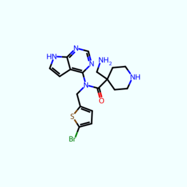 NCC1(C(=O)N(Cc2ccc(Br)s2)c2ncnc3[nH]ccc23)CCNCC1